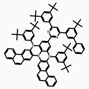 CC(C)(C)c1cc(-c2ccccc2)cc(-c2cc(-c3cc(C(C)(C)C)cc(C(C)(C)C)c3)nc(-c3cc4c5c(c3)N(c3cc(C(C)(C)C)cc(C(C)(C)C)c3)c3cc6c(ccc7ccccc76)cc3B5c3cc5ccc6ccccc6c5cc3N4c3cc(C(C)(C)C)cc(C(C)(C)C)c3)n2)c1